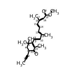 CC#CC1CC(C)(C)C(C=CC(C)=CC=CC(C)=CC(=O)OC)=C(C)C1=O